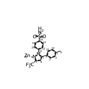 Cc1ccc(-c2cc(C(F)(F)F)nn2-c2ccc(S(N)(=O)=O)cc2)cc1.[Zn]